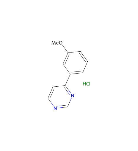 COc1cccc(-c2ccncn2)c1.Cl